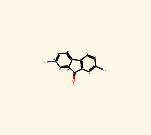 O=C1c2cc(I)ccc2-c2ccc(I)cc21